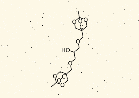 CC12OCC(COCC(O)COCC34COC(C)(OC3)OC4)(CO1)CO2